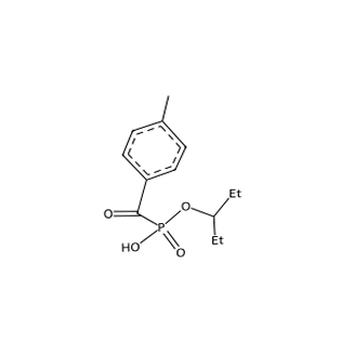 CCC(CC)OP(=O)(O)C(=O)c1ccc(C)cc1